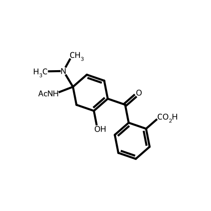 CC(=O)NC1(N(C)C)C=CC(C(=O)c2ccccc2C(=O)O)=C(O)C1